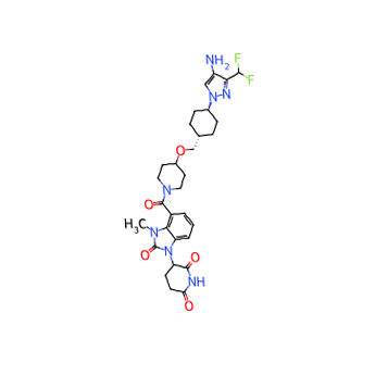 Cn1c(=O)n(C2CCC(=O)NC2=O)c2cccc(C(=O)N3CCC(OC[C@H]4CC[C@H](n5cc(N)c(C(F)F)n5)CC4)CC3)c21